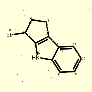 CCC1CCc2c1[nH]c1ccccc21